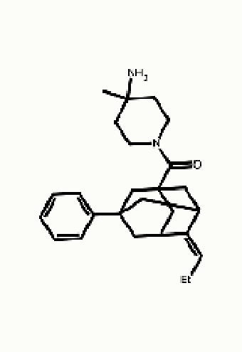 CCC=C1C2CC3(C(=O)N4CCC(C)(N)CC4)CC1CC(c1ccccc1)(C2)C3